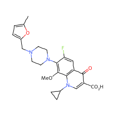 COc1c(N2CCN(Cc3ccc(C)o3)CC2)c(F)cc2c(=O)c(C(=O)O)cn(C3CC3)c12